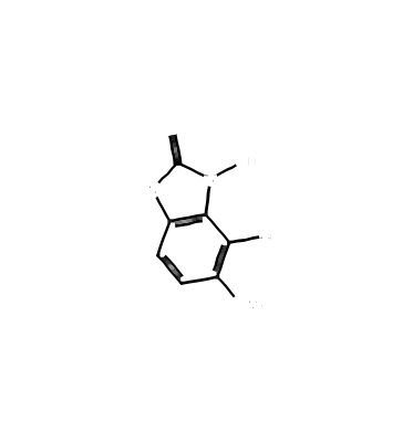 COc1ccc2[nH]c(=O)n(C)c2c1Br